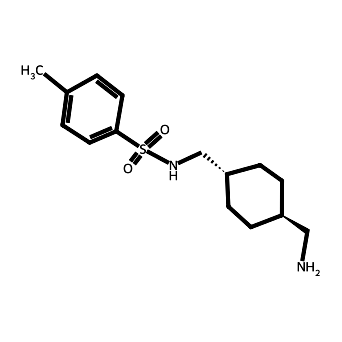 Cc1ccc(S(=O)(=O)NC[C@H]2CC[C@H](CN)CC2)cc1